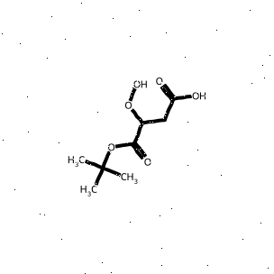 CC(C)(C)OC(=O)C(CC(=O)O)OO